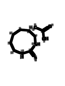 CC(=O)O.S=C1NCCCCCCN1